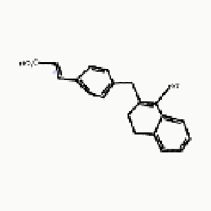 CCCC1=C(Cc2ccc(/C=C/C(=O)O)cc2)CCc2ccccc21